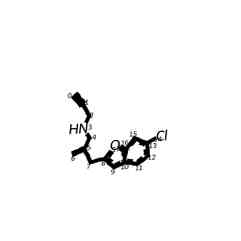 C#CCNCC(=C)Cc1cc2ccc(Cl)cc2o1